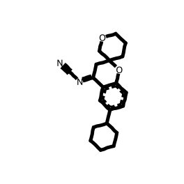 N#CN=C1CC2(CCCOC2)Oc2ccc(C3CCCCC3)cc21